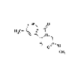 COC(=O)CN1C(=O)c2ccc(C)cc2C1=O